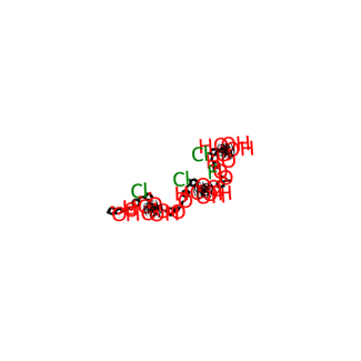 CC1OC(COc2ccc(Cc3cc([C@@H]4O[C@H](CO)[C@@H](O)[C@H](O)[C@H]4O)ccc3Cl)cc2F)c2cc(OC[C@H]3O[C@@H](c4ccc(Cl)c(Cc5ccc(OCCc6cc7cc(OC[C@H]8O[C@@H](c9ccc(Cl)c(Cc%10ccc(OCCC%11Cc%12ccccc%12O%11)cc%10)c9)[C@H](O)[C@@H](O)[C@@H]8O)ccc7o6)cc5)c4)[C@H](O)[C@@H](O)[C@@H]3O)ccc21